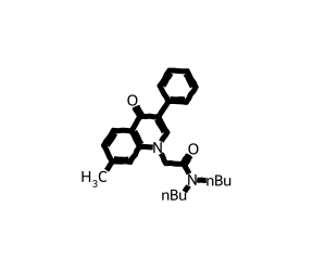 CCCCN(CCCC)C(=O)Cn1cc(-c2ccccc2)c(=O)c2ccc(C)cc21